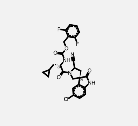 N#CC1C[C@@]2(CN1C(=O)[C@H](CC1CC1)NC(=O)OCc1c(F)cccc1F)C(=O)Nc1ccc(Cl)cc12